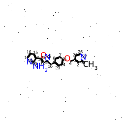 Cc1cc(COc2ccc(Cc3cc(-c4cccnc4N)on3)cc2)ccn1